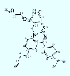 C#CCOc1ccc2c(c1)c(-c1ccc(C(C)C)cc1)nc(=S)n2Cc1cccnc1OCCOC